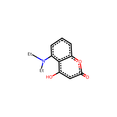 CCN(CC)c1cccc2oc(=O)cc(O)c12